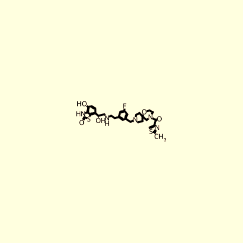 Cc1nc(C(=O)N2CCOC3(CCN(Cc4cc(F)cc(CCNC[C@H](O)c5ccc(O)c6[nH]c(=O)sc56)c4)CC3)C2)cs1